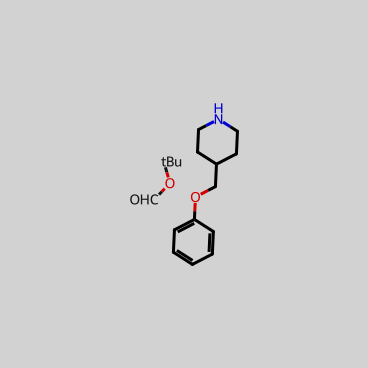 CC(C)(C)OC=O.c1ccc(OCC2CCNCC2)cc1